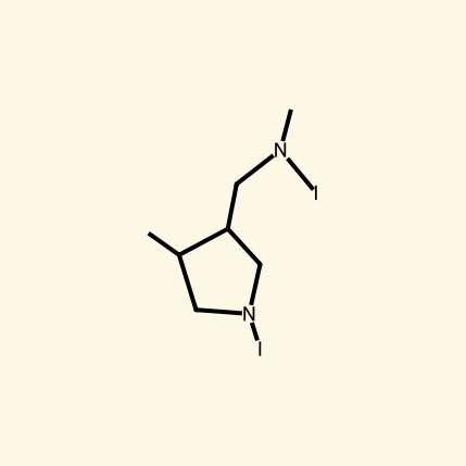 CC1CN(I)CC1CN(C)I